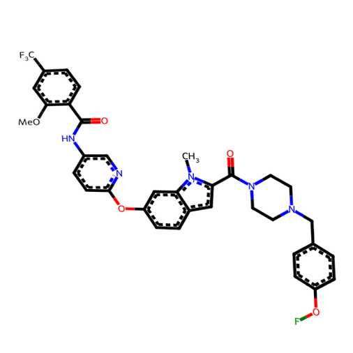 COc1cc(C(F)(F)F)ccc1C(=O)Nc1ccc(Oc2ccc3cc(C(=O)N4CCN(Cc5ccc(OF)cc5)CC4)n(C)c3c2)nc1